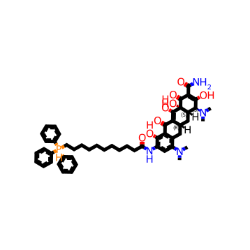 CN(C)c1cc(NC(=O)CCCCCCCCCC[PH](c2ccccc2)(c2ccccc2)c2ccccc2)c(O)c2c1C[C@H]1C[C@H]3[C@H](N(C)C)C(O)=C(C(N)=O)C(=O)[C@@]3(O)C(O)=C1C2=O